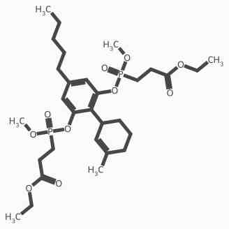 CCCCCc1cc(OP(=O)(CCC(=O)OCC)OC)c(C2C=C(C)CCC2)c(OP(=O)(CCC(=O)OCC)OC)c1